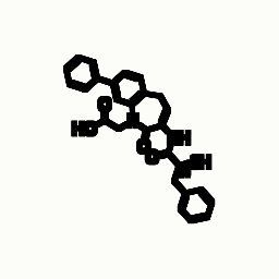 O=C(O)CN1C(=O)C(NC(=O)[C@@H](S)Cc2ccccc2)=CCc2ccc(-c3ccccc3)cc21